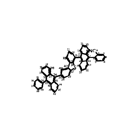 N#Cc1ccccc1-c1c2ccccc2c(-c2cccc3c2sc2ccc(-c4c5ccccc5c(-c5ccccc5)c5ccccc45)cc23)c2ccccc12